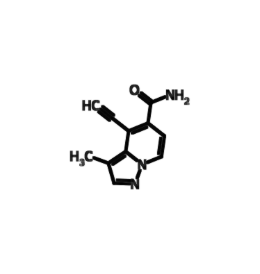 C#Cc1c(C(N)=O)ccn2ncc(C)c12